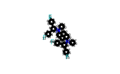 Fc1ccc(-c2cc(-c3ccc(F)cc3)cc(N(c3ccccc3)c3ccc4ccc5c(N(c6ccccc6)c6cc(-c7ccc(F)cc7)cc(-c7ccc(F)cc7)c6)ccc6ccc3c4c65)c2)cc1